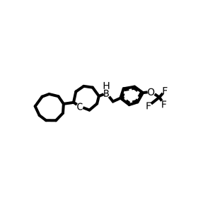 FC(F)(F)Oc1ccc(CBC2CCCC(C3CCCCCCCC3)CCC2)cc1